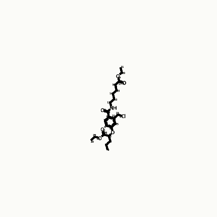 CCCC(Oc1ccc(C(=O)NCCCCCC(=O)OCC)c(CCl)c1)C(=O)OCC